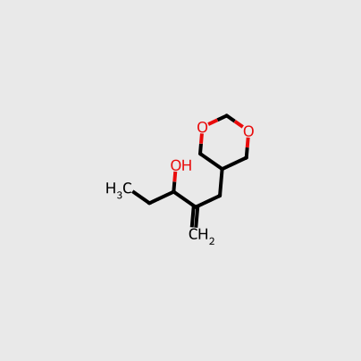 C=C(CC1COCOC1)C(O)CC